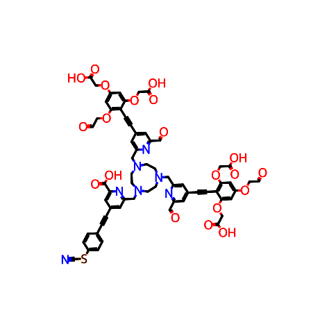 N#CSc1ccc(C#Cc2cc(CN3CCN(Cc4cc(C#Cc5c(OCC=O)cc(OCC(=O)O)cc5OCC(=O)O)cc(C=O)n4)CCN(Cc4cc(C#Cc5c(OCC(=O)O)cc(OCC=O)cc5OCC(=O)O)cc(C=O)n4)CC3)nc(C(=O)O)c2)cc1